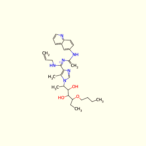 C=CCN/C(=N/C(=C)Nc1ccc2ncccc2c1)c1ncn(C(C)C(O)C(O)C(CC)OCCCC)c1C